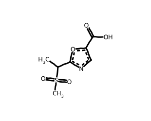 CC(c1ncc(C(=O)O)o1)S(C)(=O)=O